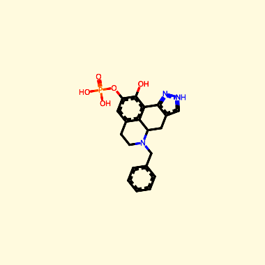 O=P(O)(O)Oc1cc2c3c(c1O)-c1n[nH]cc1CC3N(Cc1ccccc1)CC2